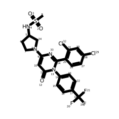 CS(=O)(=O)NC1CCN(c2cc(=O)n(-c3ccc(C(F)(F)F)cc3)c(-c3ccc(Cl)cc3Cl)n2)C1